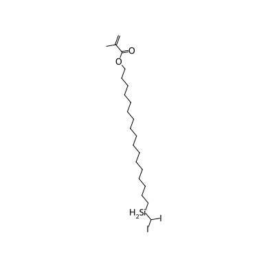 C=C(C)C(=O)OCCCCCCCCCCCCCCCCC[SiH2]C(I)I